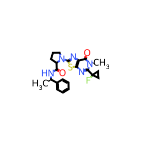 C[C@@H](NC(=O)C1CCCN1c1nc2c(=O)n(C)c(C3(F)CC3)nc2s1)c1ccccc1